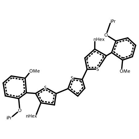 CCCCCCc1cc(-c2ccc(-c3cc(CCCCCC)c(-c4c(OC)cccc4OC(C)C)s3)s2)sc1-c1c(OC)cccc1OC(C)C